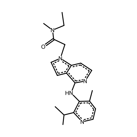 CCN(C)C(=O)Cn1ccc2c(Nc3c(C)ccnc3C(C)C)nccc21